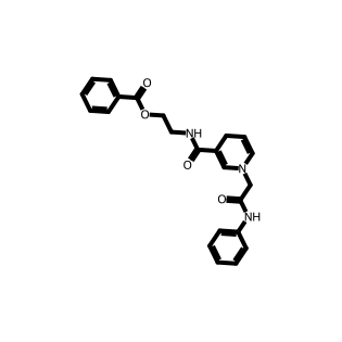 O=C(CN1C=CCC(C(=O)NCCOC(=O)c2ccccc2)=C1)Nc1ccccc1